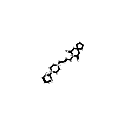 O=C1CC2(CCCC2)CC(=O)N1CC=CCN1CCN(c2ncccn2)CC1